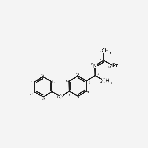 C/C(=N/C(C)c1ccc(Oc2ccccc2)cc1)C(C)C